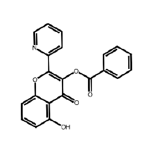 O=C(Oc1c(-c2ccccn2)oc2cccc(O)c2c1=O)c1ccccc1